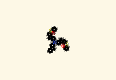 CC1(C)c2ccccc2-c2ccc(N(c3ccc4c(c3)C(C)(C)c3ccc5c(c3-4)Oc3ccccc3S5)c3ccc4c(c3)C(C)(C)c3ccc5c(c3-4)Oc3ccccc3S5)cc21